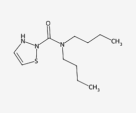 CCCCN(CCCC)C(=O)N1NC=CS1